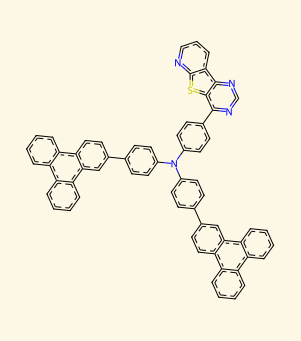 c1ccc2c(c1)c1ccccc1c1cc(-c3ccc(N(c4ccc(-c5ccc6c7ccccc7c7ccccc7c6c5)cc4)c4ccc(-c5ncnc6c5sc5ncccc56)cc4)cc3)ccc21